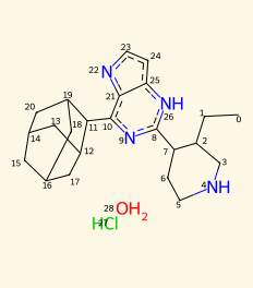 CCC1CNCCC1c1nc(C2C3CC4CC(C3)CC2C4)c2nccc-2[nH]1.Cl.O